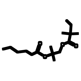 CCCCCC(=O)OC(C)(C)COC(=O)C(C)(C)CC